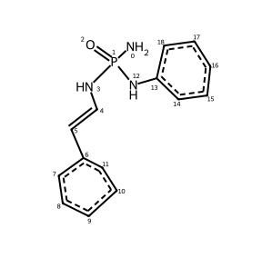 NP(=O)(NC=Cc1ccccc1)Nc1ccccc1